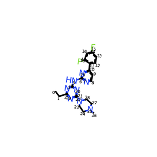 CCc1nc(Nc2nccc(-c3ccc(F)cc3F)n2)nc(N2CCN(C)CC2)n1